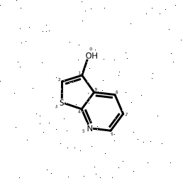 Oc1csc2ncccc12